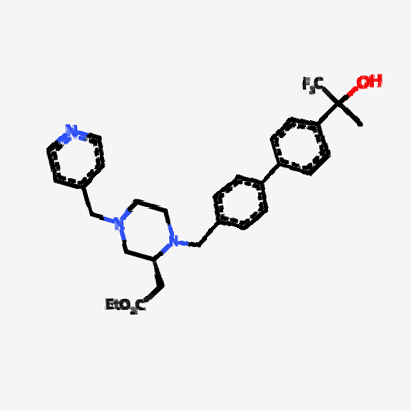 CCOC(=O)C[C@H]1CN(Cc2ccncc2)CCN1Cc1ccc(-c2ccc(C(C)(O)C(F)(F)F)cc2)cc1